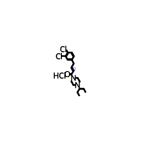 CCC(CC)N1CCN(C(=O)/C=C/Cc2ccc(Cl)c(Cl)c2)CC1.Cl